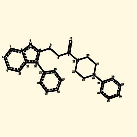 O=C(CSc1nc2ccccc2n1-c1ccccc1)N1CCN(c2ccccc2)CC1